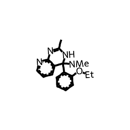 CCOc1ccccc1C1(NC)NC(C)=Nc2ncccc21